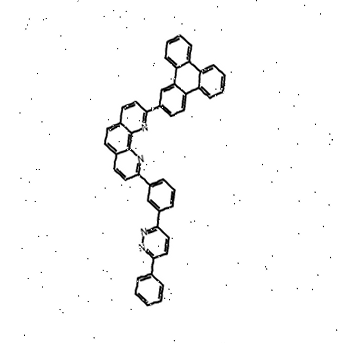 c1ccc(-c2ccc(-c3cccc(-c4ccc5ccc6ccc(-c7ccc8c9ccccc9c9ccccc9c8c7)nc6c5n4)c3)nn2)cc1